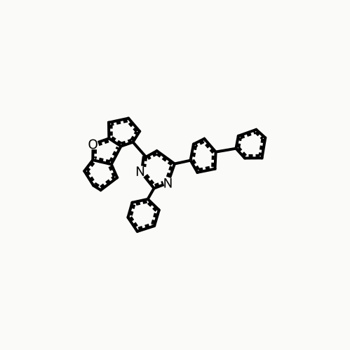 c1ccc(-c2ccc(-c3cc(-c4cccc5oc6ccccc6c45)nc(-c4ccccc4)n3)cc2)cc1